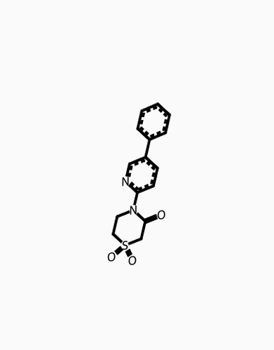 O=C1CS(=O)(=O)CCN1c1ccc(-c2ccccc2)cn1